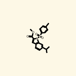 COC(=O)c1cc2ccc(C(C)C)cc2n1S(=O)(=O)c1ccc(C)cc1